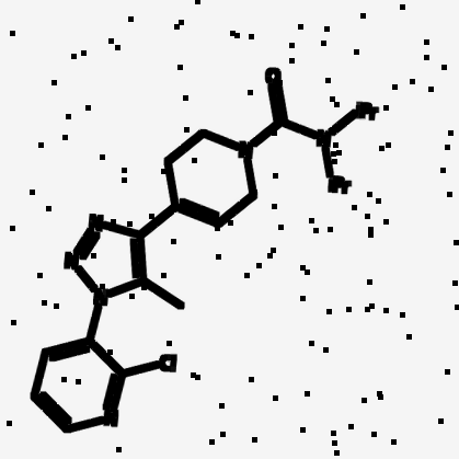 Cc1c(C2=CCN(C(=O)N(C(C)C)C(C)C)CC2)nnn1-c1cccnc1Cl